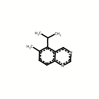 Cc1ccc2ncncc2c1C(C)C